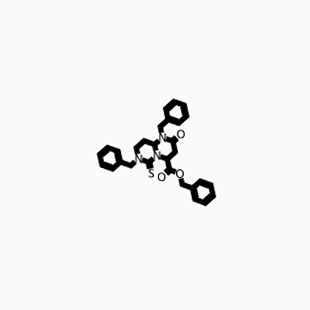 O=C(OCc1ccccc1)C1CC(=O)N(Cc2ccccc2)C2CCN(Cc3ccccc3)C(=S)N12